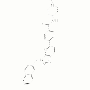 O=C(NC1CCN(C(=O)O)CC1)c1ccc(-c2ccc3nnn(Cc4ccc5ncccc5c4)c3n2)cc1